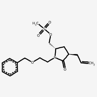 C=CC[C@@H]1C[C@@H](COS(C)(=O)=O)N(CCOCc2ccccc2)C1=O